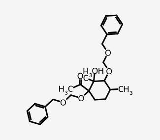 CC(=O)C1(OCOCc2ccccc2)CCC(C)C(OCOCc2ccccc2)C1(C)O